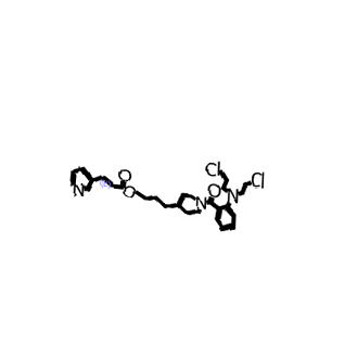 O=C(/C=C/c1cccnc1)OCCCCC1CCN(C(=O)c2ccccc2N(CCCl)CCCl)CC1